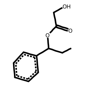 CCC(OC(=O)CO)c1ccccc1